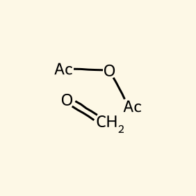 C=O.CC(=O)OC(C)=O